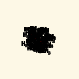 COC(c1ccc(C(=O)C(C)(C)O)cc1)(c1ccc(C(=O)C(C)(C)O)cc1)C(COC(c1ccc(C(=O)C(C)(C)O)cc1)c1ccc(C(=O)C(C)(C)O)cc1)(COC(c1ccc(C(=O)C(C)(C)O)cc1)c1ccc(C(=O)C(C)(C)O)cc1)C(OC)(c1ccc(C(=O)C(C)(C)O)cc1)c1ccc(C(=O)C(C)(C)O)cc1